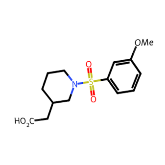 COc1cccc(S(=O)(=O)N2CCCC(CC(=O)O)C2)c1